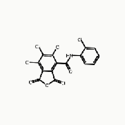 O=C(Nc1ccccc1Cl)c1c(Cl)c(Cl)c(Cl)c2c1C(=O)OC2=O